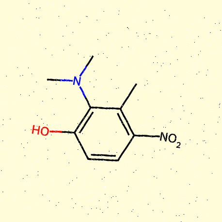 Cc1c([N+](=O)[O-])ccc(O)c1N(C)C